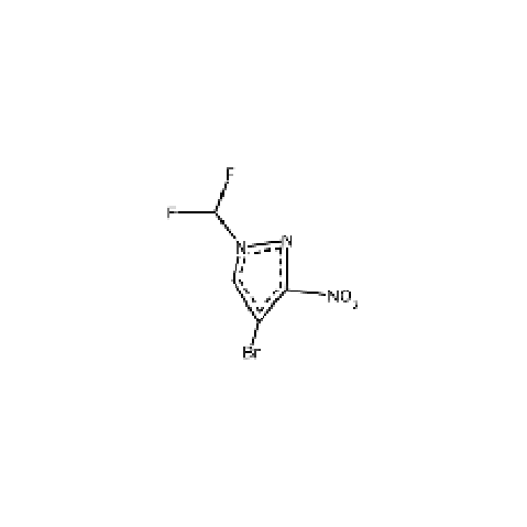 O=[N+]([O-])c1nn(C(F)F)cc1Br